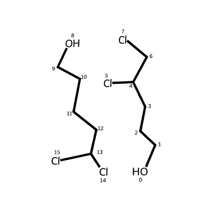 OCCCC(Cl)CCl.OCCCCC(Cl)Cl